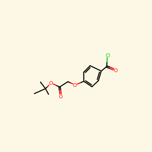 CC(C)(C)OC(=O)COc1ccc(C(=O)Cl)cc1